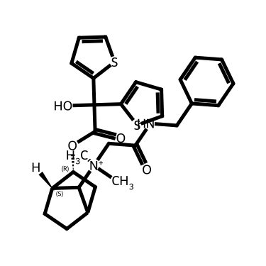 C[N+](C)(CC(=O)NCc1ccccc1)C1C2CC[C@@H]1[C@H](OC(=O)C(O)(c1cccs1)c1cccs1)C2